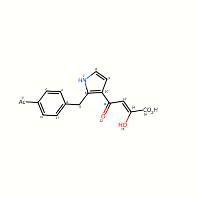 CC(=O)c1ccc(Cc2[nH]ccc2C(=O)C=C(O)C(=O)O)cc1